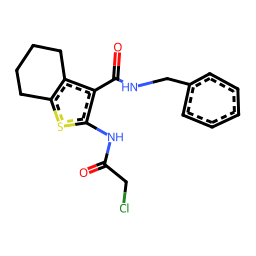 O=C(CCl)Nc1sc2c(c1C(=O)NCc1ccccc1)CCCC2